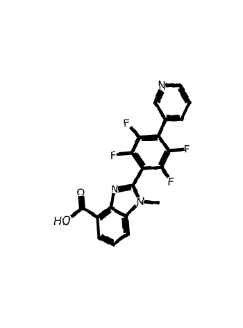 Cn1c(-c2c(F)c(F)c(-c3cccnc3)c(F)c2F)nc2c(C(=O)O)cccc21